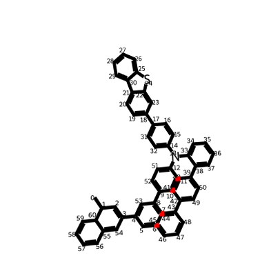 CC1C=C(c2cccc(-c3ccc(N(c4ccc(-c5ccc6c(c5)sc5ccccc56)cc4)c4ccccc4-c4ccc(-c5ccccc5)cc4)cc3)c2)C=C2C=CC=CC21